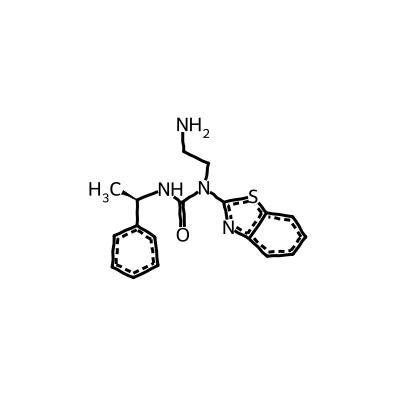 C[C@@H](NC(=O)N(CCN)c1nc2ccccc2s1)c1ccccc1